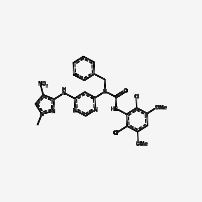 COc1cc(OC)c(Cl)c(NC(=O)N(Cc2ccccc2)c2cc(Nc3nn(C)cc3[N+](=O)[O-])ncn2)c1Cl